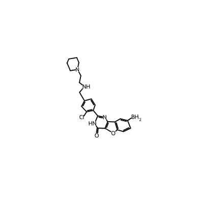 Bc1ccc2oc3c(=O)[nH]c(-c4ccc(CNCCN5CCCCC5)cc4Cl)nc3c2c1